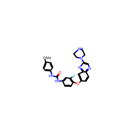 COc1ccc(NC(=O)Nc2ccc(Oc3ccc4ncc(N5CCNCC5)nc4c3)c(F)c2)cc1